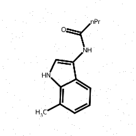 CCCC(=O)Nc1c[nH]c2c(C)cccc12